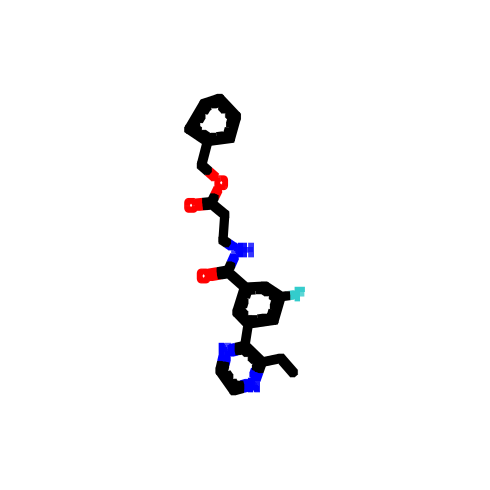 CCc1nccnc1-c1cc(F)cc(C(=O)NCCC(=O)OCc2ccccc2)c1